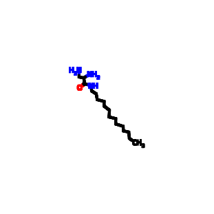 CCCCCCCCCCCCCCNC(=O)C(N)CN